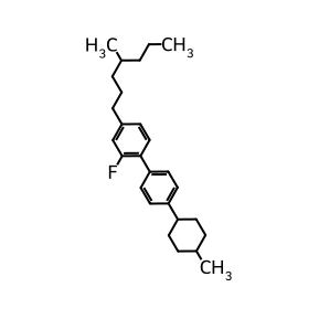 CCCC(C)CCCc1ccc(-c2ccc(C3CCC(C)CC3)cc2)c(F)c1